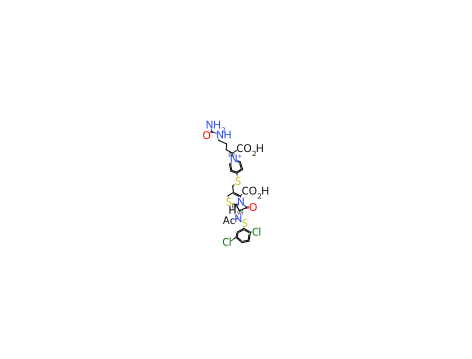 CC(=O)N(Sc1cc(Cl)ccc1Cl)[C@H]1C(=O)N2C(C(=O)O)=C(CSc3cc[n+]([C@@H](CCCNC(N)=O)C(=O)O)cc3)CS[C@H]12